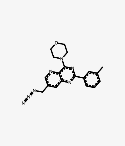 Cc1cccc(-c2nc(N3CCOCC3)c3ncc(CN=[N+]=[N-])cc3n2)c1